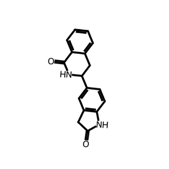 O=C1Cc2cc(C3Cc4ccccc4C(=O)N3)ccc2N1